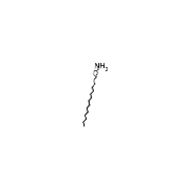 CCCCCCCCCCCCCCCOCN